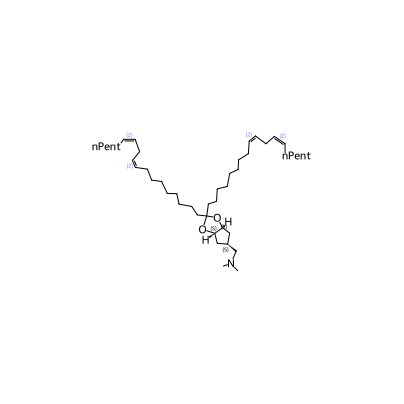 CCCCC/C=C\C/C=C\CCCCCCCCC1(CCCCCCCC/C=C\C/C=C\CCCCC)O[C@H]2C[C@H](CN(C)C)C[C@H]2O1